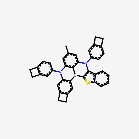 Cc1cc2c3c(c1)N(c1ccc4c(c1)CC4)c1c(sc4ccccc14)B3c1cc3c(cc1N2c1ccc2c(c1)CC2)CC3